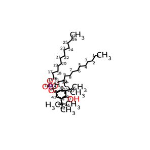 CCCCCCCCCCCCOP(=O)(OCCCCCCCCCCCC)Oc1cc(C(C)(C)C)c(O)c(C(C)(C)C)c1